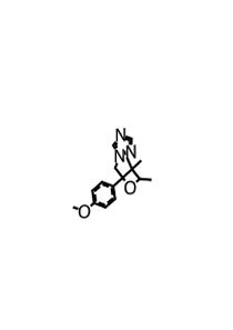 COc1ccc(C2(Cn3cncn3)OC(C)C2(C)C)cc1